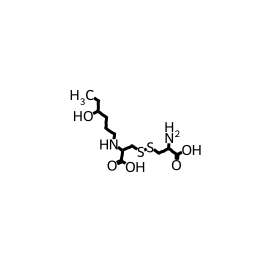 CCC(O)CCCNC(CSSCC(N)C(=O)O)C(=O)O